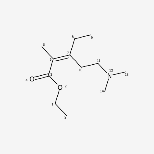 CCOC(=O)C(C)=C(CC)CCN(C)C